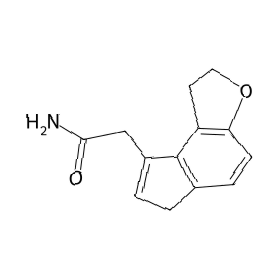 NC(=O)CC1=CCc2ccc3c(c21)CCO3